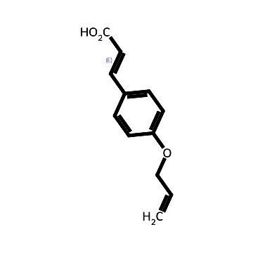 C=CCOc1ccc(/C=C/C(=O)O)cc1